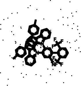 Cc1ccc(-c2ccc3c4ccccc4n(-c4cc(C#N)c(-c5c(C(F)(F)F)cccc5C(F)(F)F)cc4-n4c5ccccc5c5ccc(-c6ccc(C)cc6)cc54)c3c2)cc1